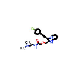 CN(C)CCNC(=O)COCc1nc2ccccn2c1C#Cc1ccc(F)cc1